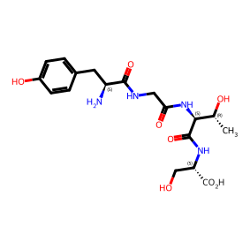 C[C@@H](O)[C@H](NC(=O)CNC(=O)[C@@H](N)Cc1ccc(O)cc1)C(=O)N[C@@H](CO)C(=O)O